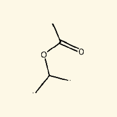 [CH2]C([CH2])OC(C)=O